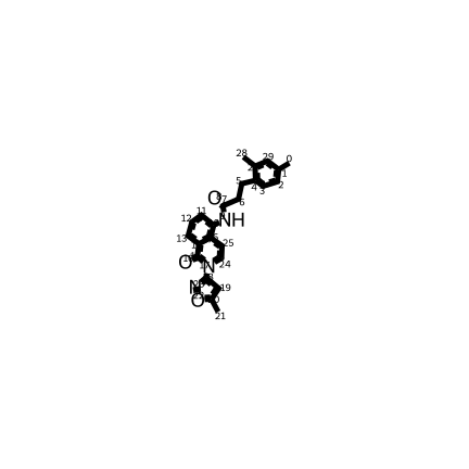 Cc1ccc(CCC(=O)Nc2cccc3c(=O)n(-c4cc(C)on4)ccc23)c(C)c1